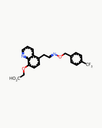 O=C(O)COc1ccc(CC=NOCc2ccc(C(F)(F)F)cc2)c2cccnc12